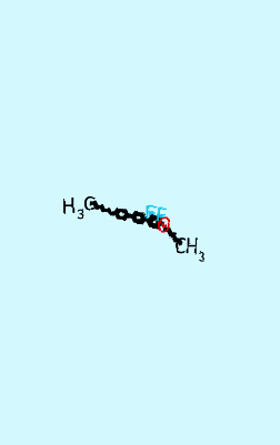 CCCCCCCOc1ccc(-c2ccc(C3CCC(CCCCCCC)CC3)cc2)c(F)c1F